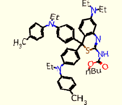 CCCCOC(=O)NC1=Nc2cc(N(CC)CC)ccc2C(c2ccc(N(CC)c3ccc(C)cc3)cc2)(c2ccc(N(CC)c3ccc(C)cc3)cc2)S1